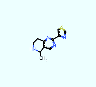 CC1NCCc2nc(-c3cscn3)ncc21